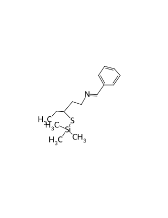 CCC(CC/N=C/c1ccccc1)S[Si](C)(C)C